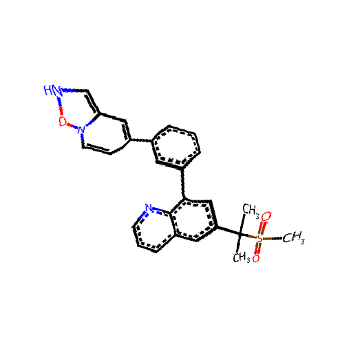 CC(C)(c1cc(-c2cccc(C3=CC4=CNON4C=C3)c2)c2ncccc2c1)S(C)(=O)=O